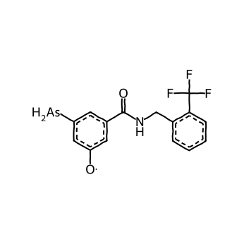 [O]c1cc([AsH2])cc(C(=O)NCc2ccccc2C(F)(F)F)c1